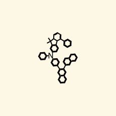 CC1(C)c2cc(N(c3ccccc3)c3ccc(-c4cc5ccccc5cc4-c4ccc5ccccc5c4)cc3)ccc2C2C(c3ccccc3)=CC=CC21